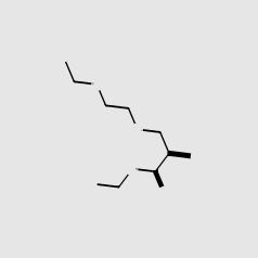 C=C(COCCOCC)C(=O)OCC